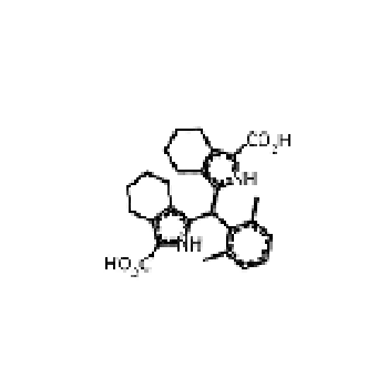 Cc1cccc(C)c1C(c1[nH]c(C(=O)O)c2c1CCCC2)c1[nH]c(C(=O)O)c2c1CCCC2